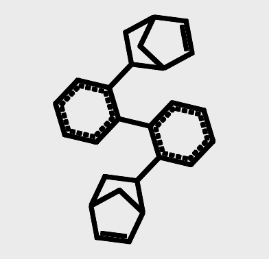 C1=CC2CC1CC2c1ccccc1-c1ccccc1C1CC2C=CC1C2